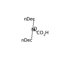 CCCCCCCCCCCCCCCCCCN(CCCCCCCCCCCCCCCCCC)C(=O)CCCC(=O)O